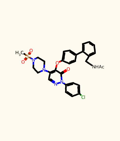 CC(=O)NCc1ccccc1-c1ccc(Oc2c(N3CCN(S(C)(=O)=O)CC3)cnn(-c3ccc(Cl)cc3)c2=O)cc1